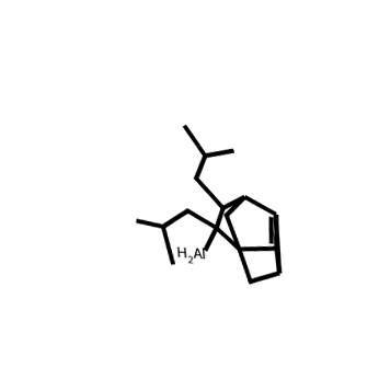 CC(C)CC1C2CC3(CC4C2=C43)[C]1([AlH2])CC(C)C